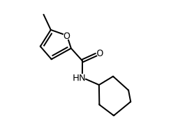 Cc1ccc(C(=O)NC2CCCCC2)o1